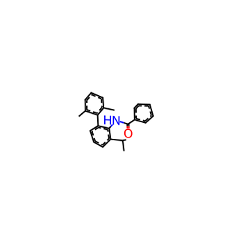 Cc1cccc(C)c1-c1cccc(C(C)C)c1NC(=O)c1ccccc1